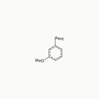 CCCC(C)c1cccc(OC)c1